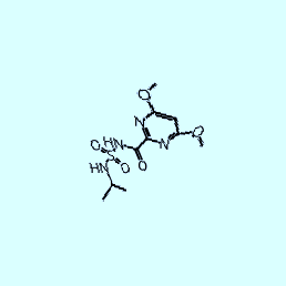 COc1cc(OC)nc(C(=O)NS(=O)(=O)NC(C)C)n1